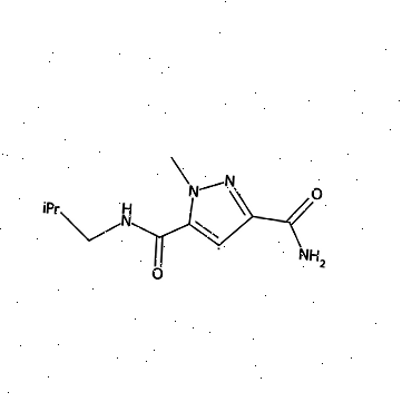 CC(C)CNC(=O)c1[c]c(C(N)=O)nn1C